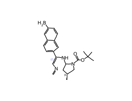 Bc1ccc2cc(/C(=C/N=C)NC3C[C@H](C)CN3C(=O)OC(C)(C)C)ccc2c1